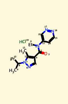 CCN(C(=O)c1cnn(C(C)C(C)C)c1C)c1ccnnc1.Cl